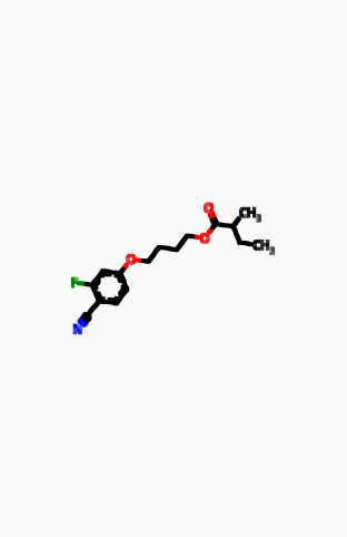 CCC(C)C(=O)OCCCCOc1ccc(C#N)c(F)c1